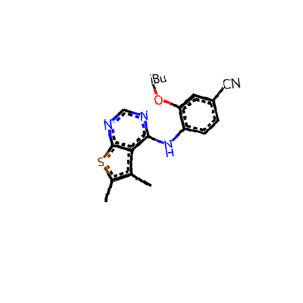 CCC(C)Oc1cc(C#N)ccc1Nc1ncnc2sc(C)c(C)c12